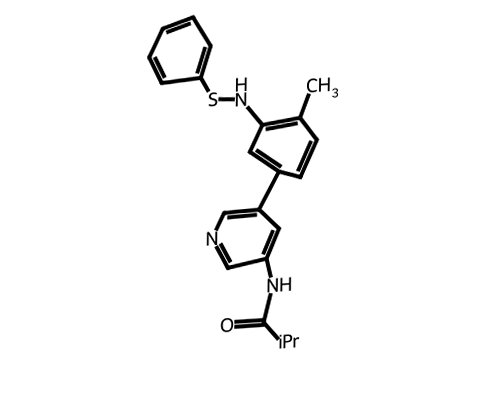 Cc1ccc(-c2cncc(NC(=O)C(C)C)c2)cc1NSc1ccccc1